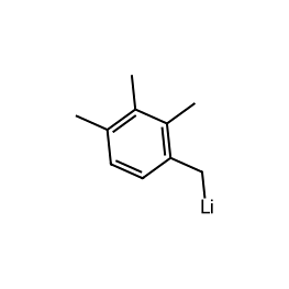 [Li][CH2]c1ccc(C)c(C)c1C